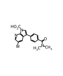 CN(C)C(=O)c1ccc(-c2cn(C(=O)O)c3ncc(Br)cc23)cc1